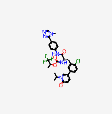 CC(C)n1cc(-c2ccc(Cl)c(C[C@H](NC(=O)OC(C)C(F)(F)F)C(=O)Nc3ccc(-c4nncn4C)cc3)c2)ccc1=O